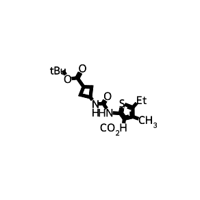 CCc1sc(NC(=O)NC2CC(C(=O)OC(C)(C)C)C2)c(C(=O)O)c1C